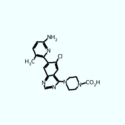 Cc1ccc(N)nc1-c1cc2ncnc(N3CCN(C(=O)O)CC3)c2cc1Cl